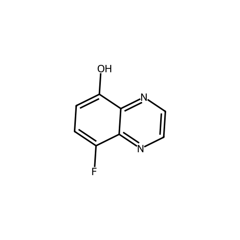 Oc1ccc(F)c2nccnc12